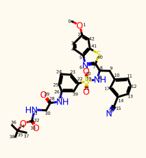 COc1ccc2nc(C(Cc3cccc(C#N)c3)NS(=O)(=O)c3cccc(NC(=O)CNC(=O)OC(C)(C)C)c3)sc2c1